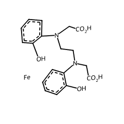 O=C(O)CN(CCN(CC(=O)O)c1ccccc1O)c1ccccc1O.[Fe]